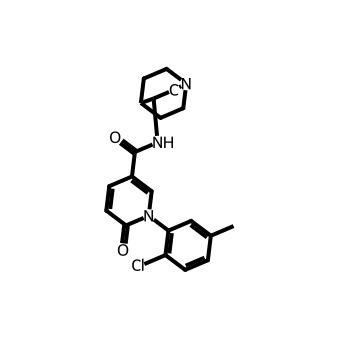 Cc1ccc(Cl)c(-n2cc(C(=O)NC3CN4CCC3CC4)ccc2=O)c1